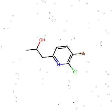 CC(O)Cc1ccc(Br)c(Cl)n1